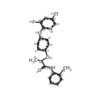 Cc1ccccc1NC(=O)[C@@H](C)Oc1ccc(Oc2ncc(Cl)cc2F)cc1